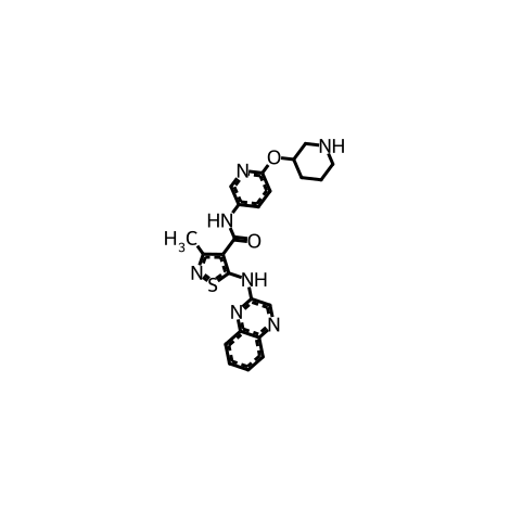 Cc1nsc(Nc2cnc3ccccc3n2)c1C(=O)Nc1ccc(OC2CCCNC2)nc1